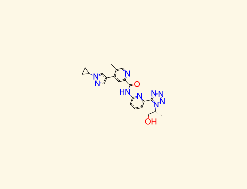 Cc1cnc(C(=O)Nc2cccc(-c3nnnn3[C@H](C)CO)n2)cc1-c1cnn(C2CC2)c1